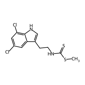 CSC(=S)NCCc1c[nH]c2c(Cl)cc(Cl)cc12